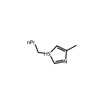 CCCC[SH]1C=NC(C)=C1